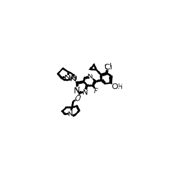 Oc1cc(Cl)c(C2CC2)c(-c2ncc3c(N4CC5CCC(C4)N5)nc(OCC45CCCN4CCC5)nc3c2F)c1